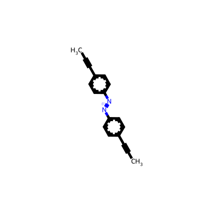 CC#Cc1ccc(/N=N/c2ccc(C#CC)cc2)cc1